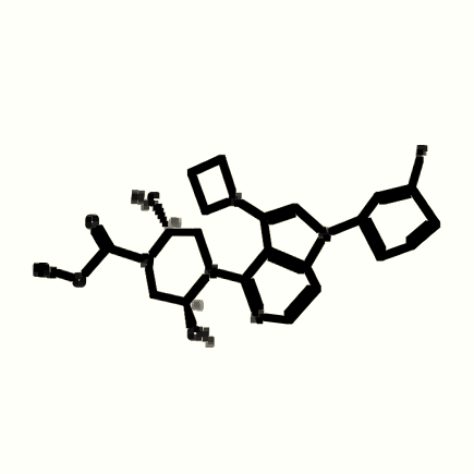 C[C@@H]1CN(c2nccc3c2c(N2CCC2)cn3-c2cccc(F)c2)[C@@H](C)CN1C(=O)OC(C)(C)C